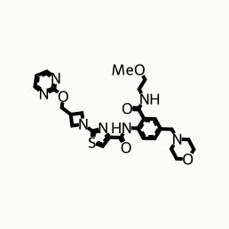 COCCNC(=O)c1cc(CN2CCOCC2)ccc1NC(=O)c1csc(N2CC(COc3ncccn3)C2)n1